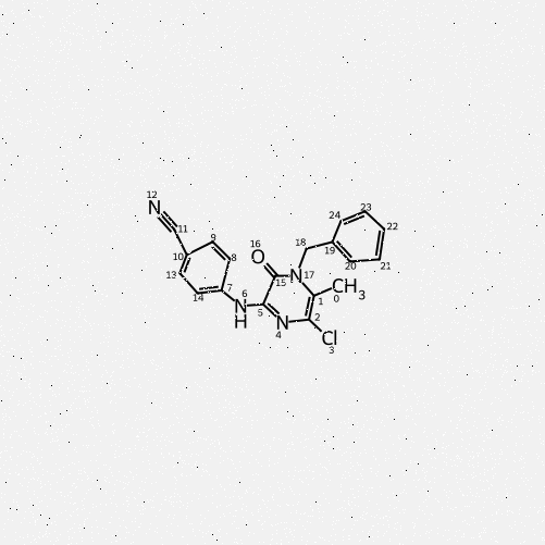 Cc1c(Cl)nc(Nc2ccc(C#N)cc2)c(=O)n1Cc1ccccc1